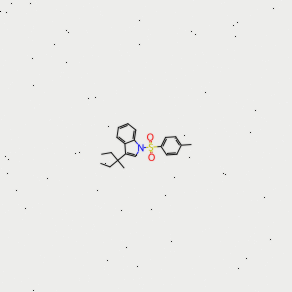 CCC(C)(CC)c1cn(S(=O)(=O)c2ccc(C)cc2)c2ccccc12